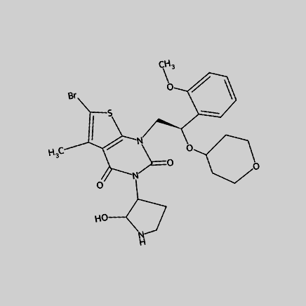 COc1ccccc1[C@H](Cn1c(=O)n(C2CCNC2O)c(=O)c2c(C)c(Br)sc21)OC1CCOCC1